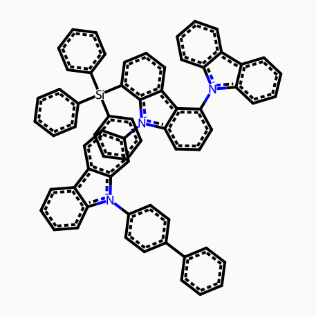 c1ccc(-c2ccc(-n3c4ccccc4c4ccc(-n5c6cccc(-n7c8ccccc8c8ccccc87)c6c6cccc([Si](c7ccccc7)(c7ccccc7)c7ccccc7)c65)cc43)cc2)cc1